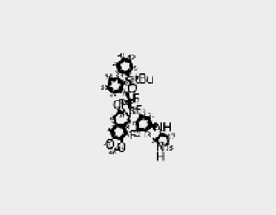 C[C@@H]1Cc2cc3c(cc2[C@@H](c2c(F)cc(N[C@H]4CCNC4)cc2F)N1CC(F)(F)CO[Si](c1ccccc1)(c1ccccc1)C(C)(C)C)OCO3